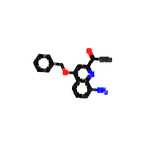 COC(=O)c1cc(OCc2ccccc2)c2cccc(N)c2n1